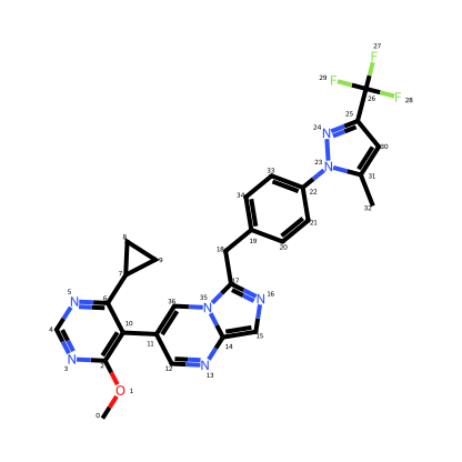 COc1ncnc(C2CC2)c1-c1cnc2cnc(Cc3ccc(-n4nc(C(F)(F)F)cc4C)cc3)n2c1